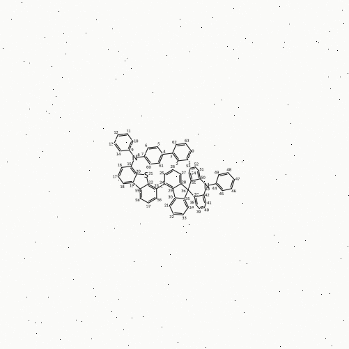 c1ccc(-c2ccc(N(c3ccccc3)c3cccc4c3sc3c(-c5cccc6c5-c5ccccc5C65c6ccccc6N(c6ccccc6)c6ccccc65)cccc34)cc2)cc1